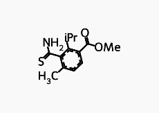 COC(=O)c1ccc(C)c(C(N)=S)c1C(C)C